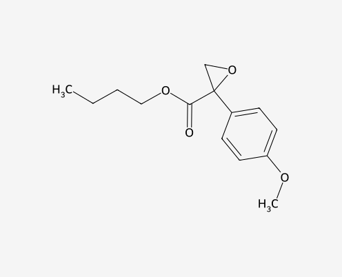 CCCCOC(=O)C1(c2ccc(OC)cc2)CO1